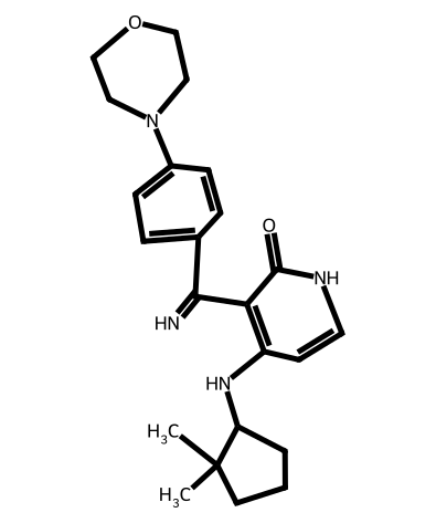 CC1(C)CCCC1Nc1cc[nH]c(=O)c1C(=N)c1ccc(N2CCOCC2)cc1